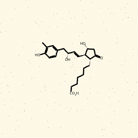 Cc1cc(C[C@@H](O)/C=C/[C@H]2[C@H](O)CC(=O)[C@@H]2CCCCCCC(=O)O)ccc1O